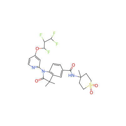 CC1(NC(=O)c2ccc3c(c2)C(C)(C)C(=O)N3c2cc(OC(F)C(F)C(F)F)ccn2)CCS(=O)(=O)CC1